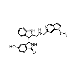 Cn1ccc2cnc(CNCC3Nc4ccccc4C3C3NC(=O)c4ccc(O)cc43)cc21